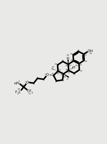 CCCC(OCCCO[C@H]1CC[C@@]2(C)[C@@H]3CCc4cc(O)ccc4[C@H]3CC[C@]12C)(C(F)(F)F)C(F)(F)F